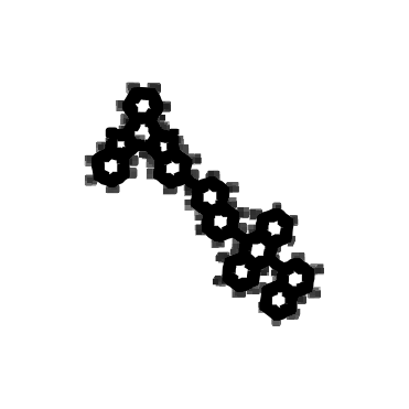 c1ccc2c(-c3c4ccccc4c(-c4ccc5cc(-c6ccc7c(c6)sc6c8ccccc8c8sc9ccccc9c8c76)ccc5c4)c4ccccc34)cccc2c1